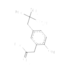 C=C(C)Cc1cc(CC(C)(N)C(=O)O)ccc1O